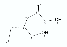 CC[C@@H](CO)C[C@@H](C)CO